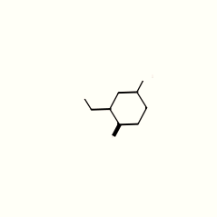 CCOC(=O)CC1CC(C(C)(C)C)CCC1=O